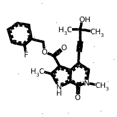 Cc1[nH]c2c(=O)n(C)cc(C#CC(C)(C)O)c2c1C(=O)OCc1ccccc1F